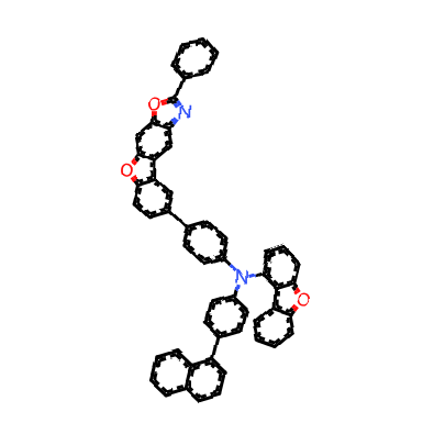 c1ccc(-c2nc3cc4c(cc3o2)oc2ccc(-c3ccc(N(c5ccc(-c6cccc7ccccc67)cc5)c5cccc6oc7ccccc7c56)cc3)cc24)cc1